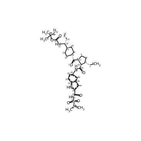 CC[C@H]1CCN(C(=O)[C@H]2CC[C@H]([C@@H](CF)NC(=O)OC(C)(C)C)CC2)[C@@H]1C(=O)Nc1ccc2[nH]c(C(=O)NS(=O)(=O)N(C)C)cc2c1